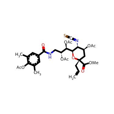 C=CC[C@]1(C(=O)OC)C[C@H](OC(C)=O)[C@@H](N=C=S)[C@H]([C@H](OC(C)=O)[C@@H](CNC(=O)c2cc(C)c(OC(C)=O)c(C)c2)OC(C)=O)O1